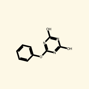 Oc1nc(O)nc(Oc2ccccc2)n1